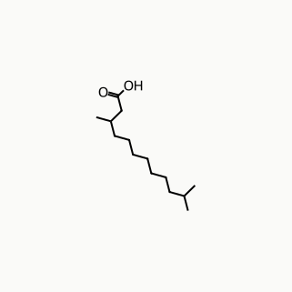 CC(C)CCCCCCCC(C)CC(=O)O